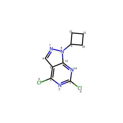 Clc1nc(Cl)c2cnn(C3CCC3)c2n1